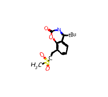 CC(C)(C)c1nc(=O)oc2c(CCS(C)(=O)=O)cccc12